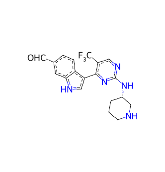 O=Cc1ccc2c(-c3nc(N[C@H]4CCCNC4)ncc3C(F)(F)F)c[nH]c2c1